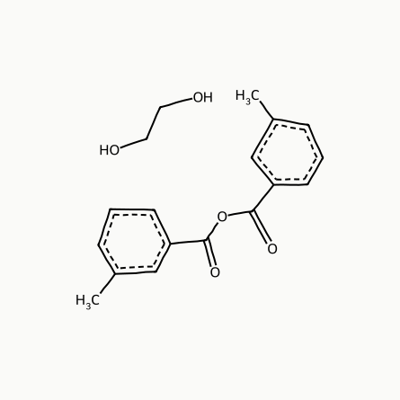 Cc1cccc(C(=O)OC(=O)c2cccc(C)c2)c1.OCCO